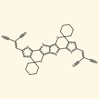 N#CC(C#N)=Cc1cc2c(s1)-c1sc3c4c(sc3c1OC21CCCCC1)-c1sc(C=C(C#N)C#N)cc1C1(CCCCC1)O4